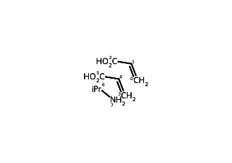 C=CC(=O)O.C=CC(=O)O.CC(C)N